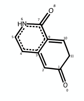 O=C1C=c2cc[nH]c(=O)c2=CC1